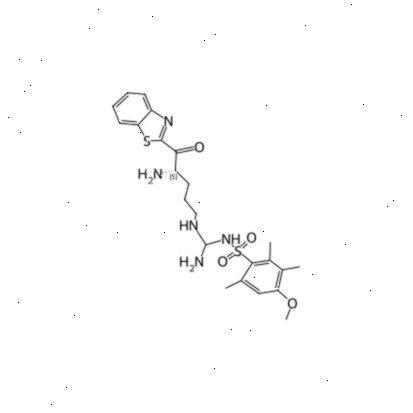 COc1cc(C)c(S(=O)(=O)NC(N)NCCC[C@H](N)C(=O)c2nc3ccccc3s2)c(C)c1C